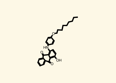 CCCCCCCCCOc1ccc(Nc2ccc(O)c3c2C(=O)c2ccccc2C3=O)cc1